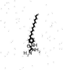 CCCCCCCCCCCCc1ccc(NC(=O)C(N)CN)cc1